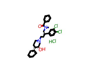 CN(C[C@H](CCN1CC[C@@H](c2ccccc2)[C@H](O)C1)c1ccc(Cl)c(Cl)c1)C(=O)c1ccccc1.Cl